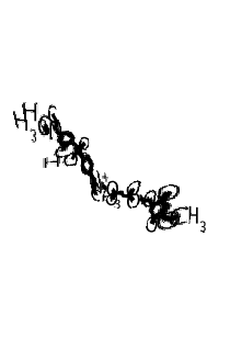 CCN(CC)c1ccc(C2=C(O)C(=C3C=CC(=[N+](CC)CCOC(=O)CCC(=O)OCCOC4=CC(=O)C(OC)=CC4=O)C=C3)C2=O)c(C)c1